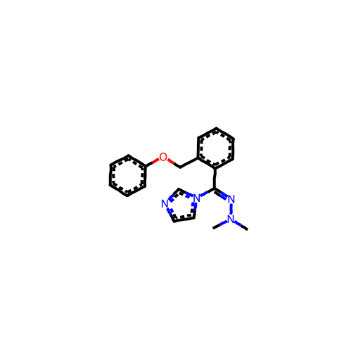 CN(C)N=C(c1ccccc1COc1ccccc1)n1ccnc1